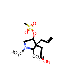 C=CC[C@]1(CCO)[C@H](OS(C)(=O)=O)CN(C(=O)O)[C@@H]1C(=O)O